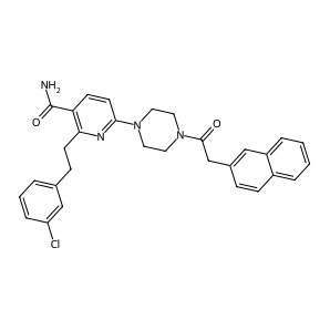 NC(=O)c1ccc(N2CCN(C(=O)Cc3ccc4ccccc4c3)CC2)nc1CCc1cccc(Cl)c1